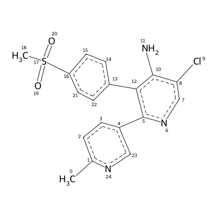 Cc1ccc(-c2ncc(Cl)c(N)c2-c2ccc(S(C)(=O)=O)cc2)cn1